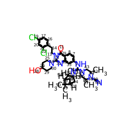 C[C@@H]1[C@@H](N=C(Nc2ccc3c(=O)n(CCc4ccc(Cl)cc4Cl)c(N4CCC(O)CC4)nc3c2)N2C[C@@H](C)N(C#N)[C@@H](C)C2)C[C@@H]2C[C@H]1C2(C)C